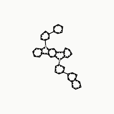 c1ccc(-c2cccc(-n3c4ccccc4c4cc5c(cc43)c3ccccc3n5-c3cccc(-c4ccc5ccccc5c4)c3)c2)cc1